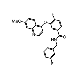 COc1ccc2c(Oc3cc(C(=O)NCc4cccc(F)c4)ccc3F)ccnc2c1